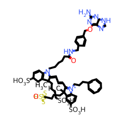 CC1(CCCCS(=O)(=O)O)C2=C(C=CC(S(=O)(=O)O)C2)N(CCCCCC(=O)NCc2ccc(COc3nc(N)nc4[nH]cnc34)cc2)/C1=C/C=C/C1=[N+](CCCC2=C/C=C\C=C/C=C\2)c2ccc(S(=O)(=O)O)cc2C1(C)CCCC12S[SH]1(=O)S2